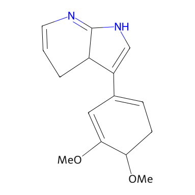 COC1=CC(C2=CNC3=NC=CCC23)=CCC1OC